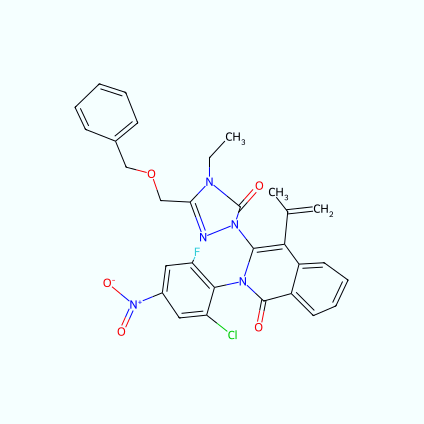 C=C(C)c1c(-n2nc(COCc3ccccc3)n(CC)c2=O)n(-c2c(F)cc([N+](=O)[O-])cc2Cl)c(=O)c2ccccc12